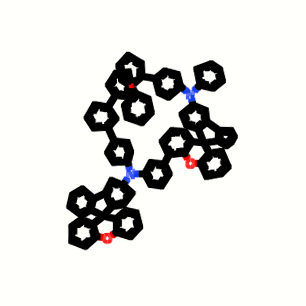 c1ccc(-c2cccc(-c3ccc(N(c4cccc(-c5cccc6c5Oc5ccccc5C65c6ccccc6-c6cc(N(c7ccccc7)c7ccc(-c8ccccc8-c8ccccc8)cc7)ccc65)c4)c4ccc5c(c4)-c4ccccc4C54c5ccccc5Oc5ccccc54)cc3)c2)cc1